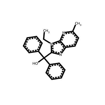 CCn1c(C(O)(c2ccccc2)c2ccccc2)nc2ccc(C)nc21